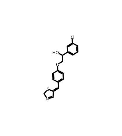 OC(COc1ccc(C=C2C=NCS2)cc1)c1cccc(Cl)c1